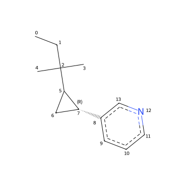 CCC(C)(C)C1C[C@H]1c1cccnc1